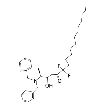 CCCCCCCCCCCCC(F)(F)C(=O)CC(O)[C@H](C)N(Cc1ccccc1)Cc1ccccc1